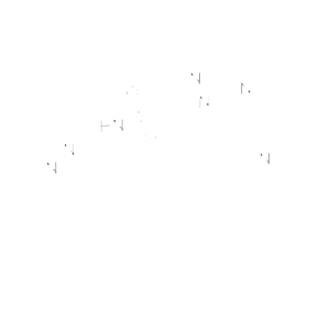 Cn1ncc2cccc(NS(=O)(=O)c3cnn(-c4cc(N5CC[C@H](F)C5)ccn4)c3)c21